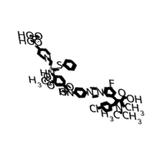 Cc1c(C(=O)O)c(-c2cc(F)cc(N3CCN(c4ccc(NS(=O)(=O)c5ccc(N[C@H](CCN6CCC(COP(=O)(O)O)CC6)CSc6ccccc6)c(S(C)(=O)=O)c5)cc4)CC3)c2)c(-c2ccc(Cl)cc2)n1C(C)C